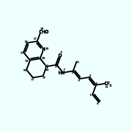 C=C/C(=C\C=C(/C)NC(=O)N1CCCc2ccc(C=O)nc21)C(F)(F)F